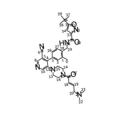 Cc1cc(-c2c(C#N)cncc2N2CCN(C(=O)/C=C/CN(C)C)CC2)ccc1CNC(=O)c1cc(C(C)(C)C)on1